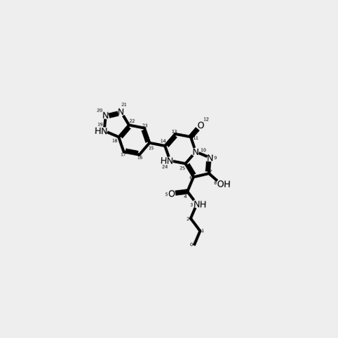 CCCNC(=O)c1c(O)nn2c(=O)cc(-c3ccc4[nH]nnc4c3)[nH]c12